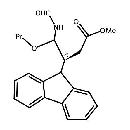 COC(=O)C[C@H](C(NC=O)OC(C)C)C1c2ccccc2-c2ccccc21